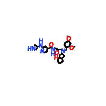 COc1ccc(CN(C/C(O)=C/NC(=O)c2ccnc(NC3CNC3)c2)C2Cc3ccccc3C2)c(OC)c1